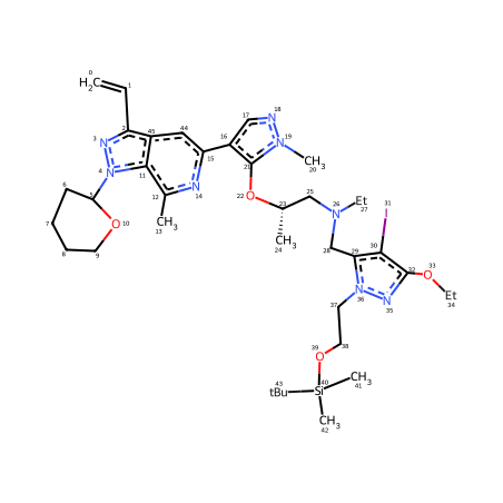 C=Cc1nn(C2CCCCO2)c2c(C)nc(-c3cnn(C)c3O[C@@H](C)CN(CC)Cc3c(I)c(OCC)nn3CCO[Si](C)(C)C(C)(C)C)cc12